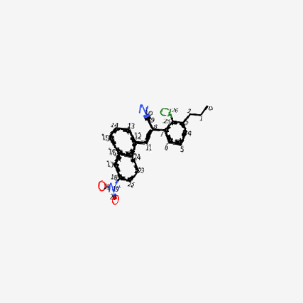 CCCc1cccc(C(C#N)=Cc2cccc3cc([N+](=O)[O-])ccc23)c1Cl